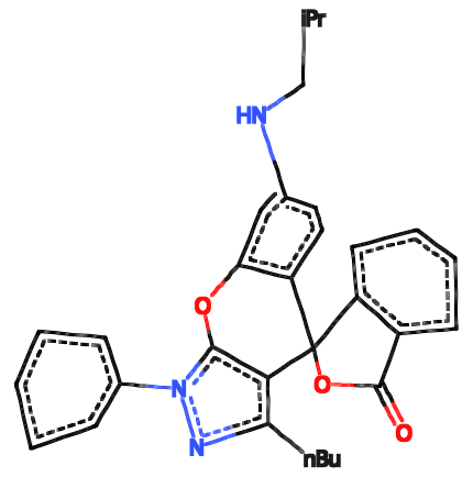 CCCCc1nn(-c2ccccc2)c2c1C1(OC(=O)c3ccccc31)c1ccc(NCC(C)C)cc1O2